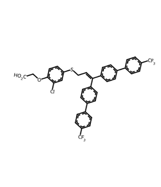 O=C(O)COc1ccc(SCC=C(c2ccc(-c3ccc(C(F)(F)F)cc3)cc2)c2ccc(-c3ccc(C(F)(F)F)cc3)cc2)cc1Cl